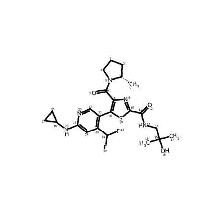 C[C@H]1CCCN1C(=O)c1nc(C(=O)NCC(C)(C)O)sc1-c1cnc(NC2CC2)cc1C(F)F